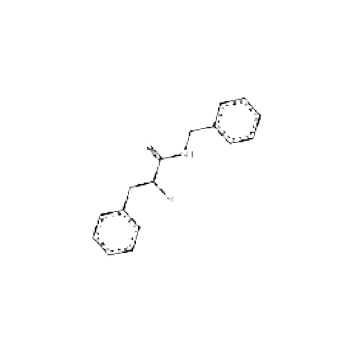 NC(Cc1ccccc1)C(=O)NCc1ccccc1